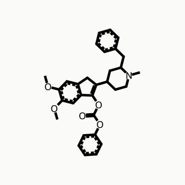 COc1cc2c(cc1OC)C(OC(=O)Oc1ccccc1)=C(C1CCN(C)C(Cc3ccccc3)C1)C2